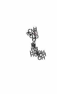 N#CC1CCCN1C(=O)CNC12CC3C[C@@H](C1)CC(OCCOCCn1cc(CNC[C@H](O)[C@@H](O)[C@H](O)[C@H](O)CO)nn1)(C3)C2